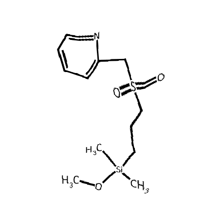 CO[Si](C)(C)CCCS(=O)(=O)Cc1ccccn1